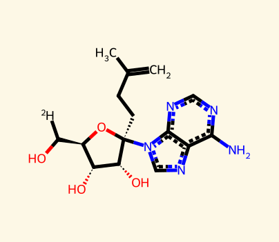 [2H]C(O)[C@H]1O[C@@](CCC(=C)C)(n2cnc3c(N)ncnc32)[C@H](O)[C@@H]1O